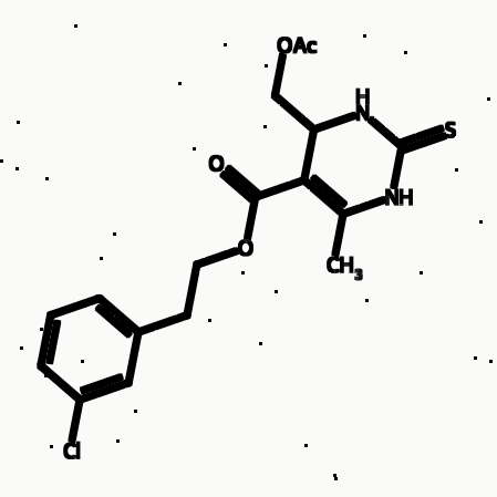 CC(=O)OCC1NC(=S)NC(C)=C1C(=O)OCCc1cccc(Cl)c1